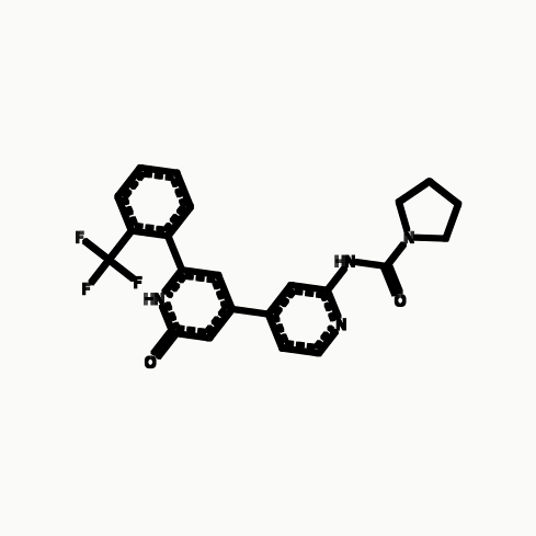 O=C(Nc1cc(-c2cc(-c3ccccc3C(F)(F)F)[nH]c(=O)c2)ccn1)N1CCCC1